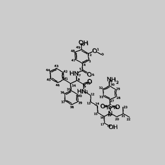 COc1cc(C(=O)NC(C(=O)NCCCCC(CO)N(CC(C)C)S(=O)(=O)c2ccc(N)cc2)C(c2ccccc2)c2ccccc2)ccc1O